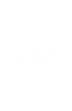 Cl.NC1=NC(Cl)(c2ccccc2C(=O)O)NC(Cl)=C1Cl